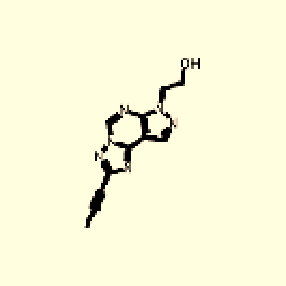 CC#Cc1nc2c3cnn(CCO)c3ncn2n1